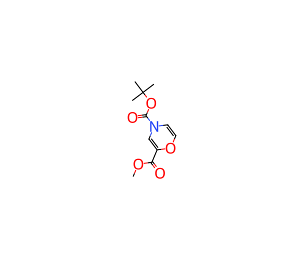 COC(=O)C1=CN(C(=O)OC(C)(C)C)C=CO1